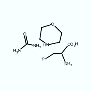 C1COCCN1.CC(C)CC(N)C(=O)O.NC(N)=O